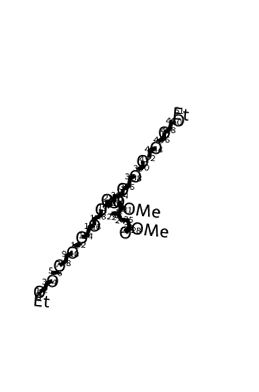 CCOCCOCCOCCOCCOCCOCCOP(=O)(CC(CCC(=O)OC)C(=O)OC)OCCOCCOCCOCCOCCOCCOCC